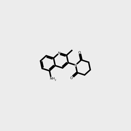 Cc1nc2cccc(N)c2cc1N1C(=O)CCCC1=O